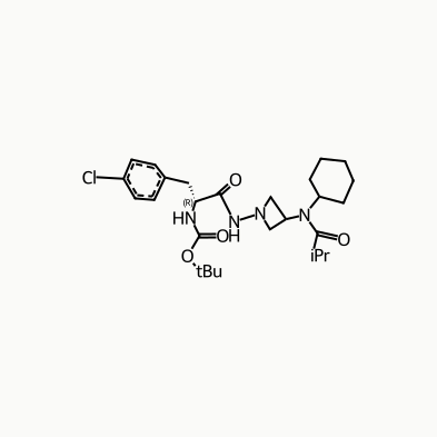 CC(C)C(=O)N(C1CCCCC1)C1CN(NC(=O)[C@@H](Cc2ccc(Cl)cc2)NC(=O)OC(C)(C)C)C1